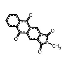 Cn1c(=O)c2cc3c(=O)c4ccccc4c(=O)c3cc2c1=O